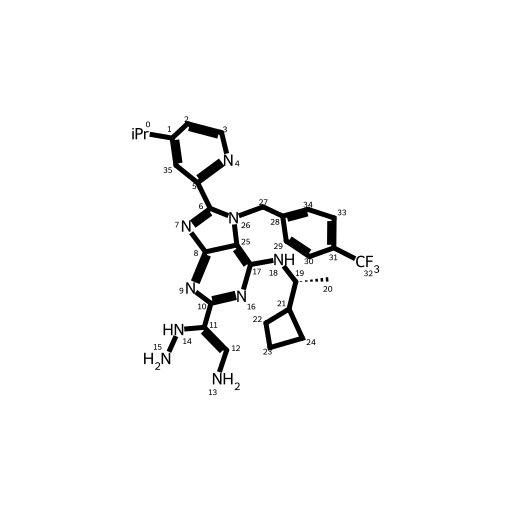 CC(C)c1ccnc(-c2nc3nc(/C(=C/N)NN)nc(N[C@H](C)C4CCC4)c3n2Cc2ccc(C(F)(F)F)cc2)c1